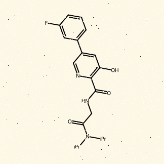 CC(C)N(C(=O)CNC(=O)c1ncc(-c2cccc(F)c2)cc1O)C(C)C